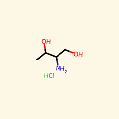 CC(O)C(N)CO.Cl